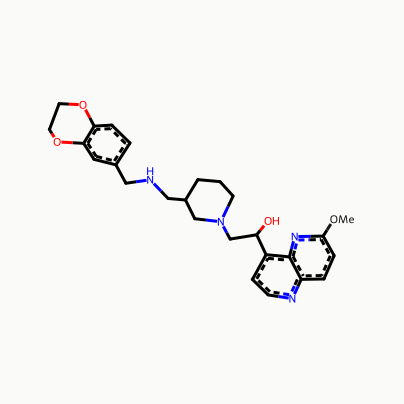 COc1ccc2nccc(C(O)CN3CCCC(CNCc4ccc5c(c4)OCCO5)C3)c2n1